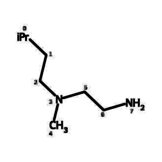 CC(C)CCN(C)CCN